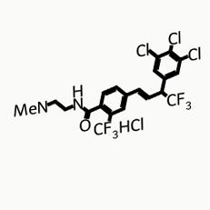 CNCCNC(=O)c1ccc(C=CC(c2cc(Cl)c(Cl)c(Cl)c2)C(F)(F)F)cc1C(F)(F)F.Cl